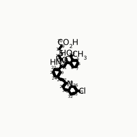 CC(C)(O)c1ccccc1CCC(NC(=O)CSCCC(=O)O)c1cccc(/C=C/c2ccc3ccc(Cl)cc3n2)c1